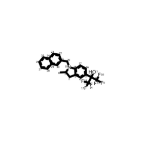 CC1Cc2cc(C(O)(C(F)(F)F)C(F)(F)F)ccc2N1Cc1ccc2ccccc2c1